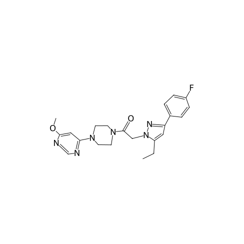 CCc1cc(-c2ccc(F)cc2)nn1CC(=O)N1CCN(c2cc(OC)ncn2)CC1